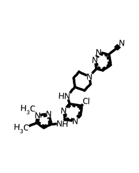 Cc1cc(Nc2ncc(Cl)c(NC3CCN(c4ccc(C#N)nn4)CC3)n2)nn1C